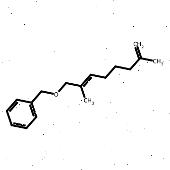 C=C(C)CCC/C=C(\C)COCc1ccccc1